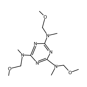 COCN(C)c1nc(N(C)COC)nc(N(C)COC)n1